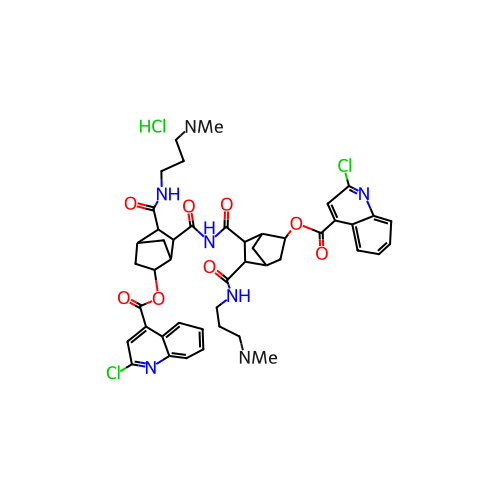 CNCCCNC(=O)C1C2CC(OC(=O)c3cc(Cl)nc4ccccc34)C(C2)C1C(=O)NC(=O)C1C2CC(CC2OC(=O)c2cc(Cl)nc3ccccc23)C1C(=O)NCCCNC.Cl